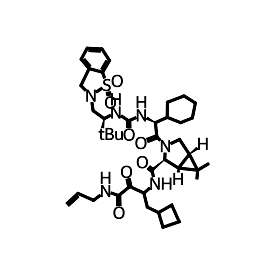 C=CCNC(=O)C(=O)C(CC1CCC1)NC(=O)[C@@H]1[C@@H]2[C@H](CN1C(=O)[C@@H](NC(=O)N[C@H](CN1Cc3ccccc3S1(=O)=O)C(C)(C)C)C1CCCCC1)C2(C)C